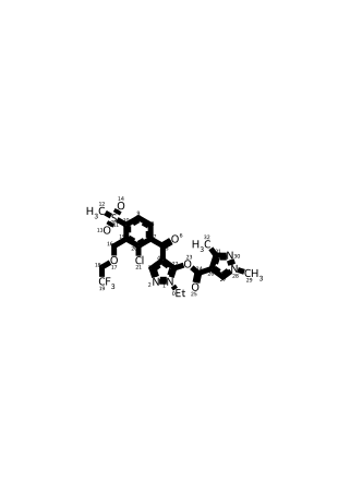 CCn1ncc(C(=O)c2ccc(S(C)(=O)=O)c(COCC(F)(F)F)c2Cl)c1OC(=O)c1cn(C)nc1C